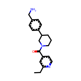 CCc1cc(C(=O)N2CCCC(c3ccc(CN)cc3)C2)ccn1